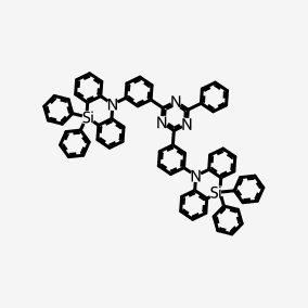 c1ccc(-c2nc(-c3cccc(N4c5ccccc5[Si](c5ccccc5)(c5ccccc5)c5ccccc54)c3)nc(-c3cccc(N4c5ccccc5[Si](c5ccccc5)(c5ccccc5)c5ccccc54)c3)n2)cc1